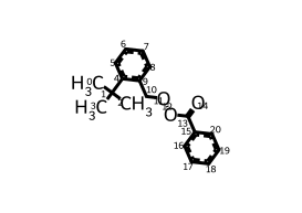 CC(C)(C)c1ccccc1COOC(=O)c1ccccc1